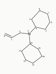 C=CCN(C1CCCCC1)C1CCCCC1